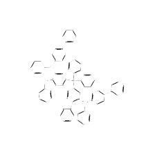 C1=CCC(N(c2ccc(-c3ccccc3)cc2)c2cc3c(c4c2oc2ccccc24)-c2c(cc(N(c4ccccc4)c4ccc(-c5ccccc5)cc4)c4c2oc2ccccc24)C3(c2ccccc2)c2ccccc2)C=C1